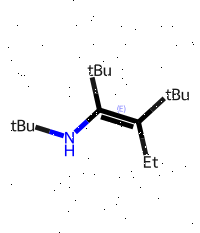 CC/C(=C(\NC(C)(C)C)C(C)(C)C)C(C)(C)C